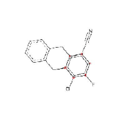 N#Cc1cc(F)c(Cl)c2c1C1c3ccccc3C2c2ccccc21